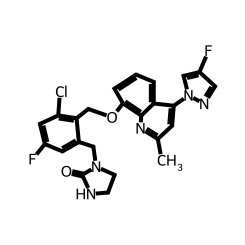 Cc1cc(-n2cc(F)cn2)c2cccc(OCc3c(Cl)cc(F)cc3CN3CCNC3=O)c2n1